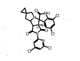 O=C1C2C3CC4(CC4)CN3C3(C(=O)Nc4c(Cl)cc(Cl)cc43)[C@@H]2C(=O)N1c1cc(Cl)cc(Cl)n1